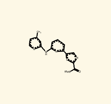 CNC(=O)c1ncc(-c2cccc(Nc3cc(C)ccn3)n2)s1